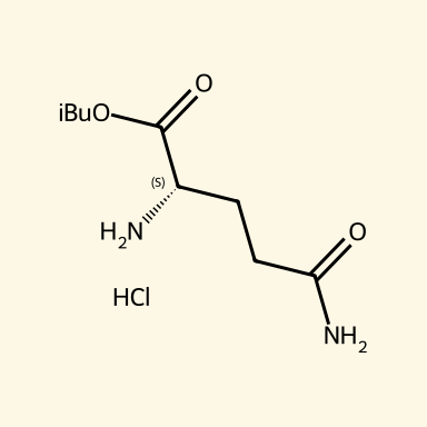 CC(C)COC(=O)[C@@H](N)CCC(N)=O.Cl